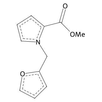 COC(=O)c1cccn1Cc1ccco1